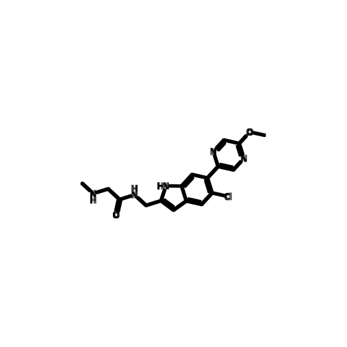 CNCC(=O)NCc1cc2cc(Cl)c(-c3cnc(OC)cn3)cc2[nH]1